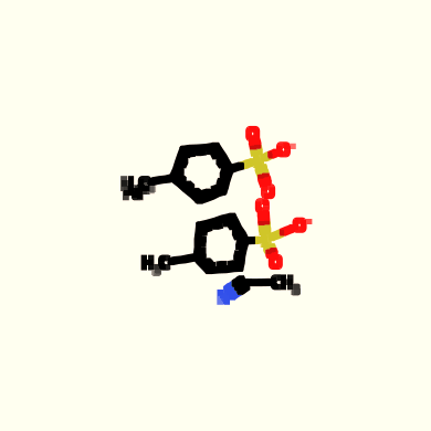 CC#N.Cc1ccc(S(=O)(=O)[O-])cc1.Cc1ccc(S(=O)(=O)[O-])cc1.[Pd+2]